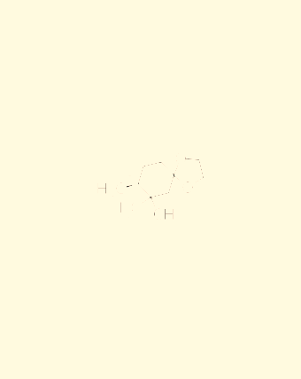 C[C@H]1CCC2(CC1(C)C)OCCO2